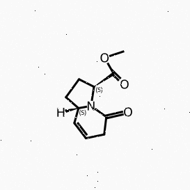 COC(=O)[C@@H]1CC[C@H]2C=CCC(=O)N21